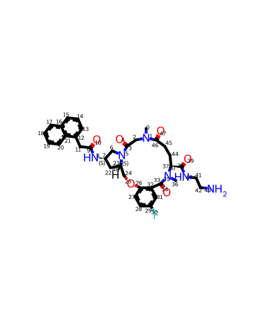 CN1CC(=O)N2C[C@@H](NC(=O)Cc3cccc4ccccc34)C[C@H]2COc2ccc(F)cc2C(=O)N(C)[C@H](C(=O)NCCN)CCC1=O